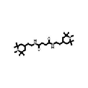 CN1C(C)(C)CC(CCNC(=O)CCC(=O)NCCC2CC(C)(C)N(C)C(C)(C)C2)CC1(C)C